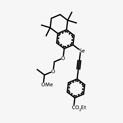 CCOC(=O)c1ccc(C#C[Se]c2cc3c(cc2OCOC(C)OC)C(C)(C)CCC3(C)C)cc1